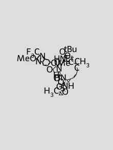 CC[C@@H]1C[C@H](C)CC/C=C\C2C[C@@]2(C(=O)NS(=O)(=O)C2(C)CC2)NC(=O)[C@@H]2C[C@@H](Oc3cc4nc(OC)c(C(F)(F)F)nc4cc3OC)CN2C(=O)[C@H]1NC(=O)OC(C)(C)C